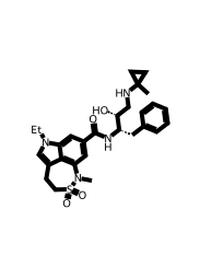 CCn1cc2c3c(cc(C(=O)N[C@@H](Cc4ccccc4)[C@H](O)CNC4(C)CC4)cc31)N(C)S(=O)(=O)CC2